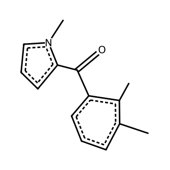 Cc1cccc(C(=O)c2cccn2C)c1C